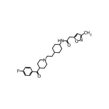 Cc1cc(CC(=O)NC2CCC(CCN3CCC(C(=O)c4ccc(F)cc4)CC3)CC2)on1